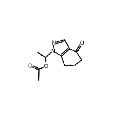 CC(=O)OC(C)n1ncc2c1CCCC2=O